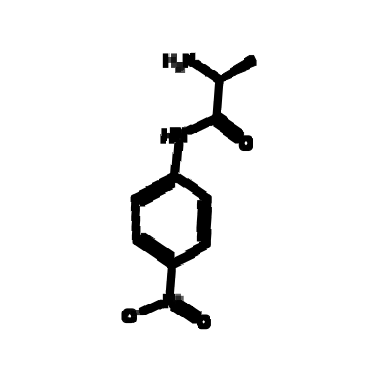 C[C@H](N)C(=O)Nc1ccc([N+](=O)[O-])cc1